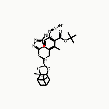 Cc1c(C[C@H](Sc2nnc(N)s2)B2OC3CC4CC(C4(C)C)[C@]3(C)O2)ccc(N=[N+]=[N-])c1C(=O)OC(C)(C)C